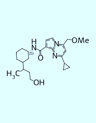 COCc1cc(C2CC2)nc2c(C(=O)N[C@H]3CCCC(C(C)CCO)C3)ccn12